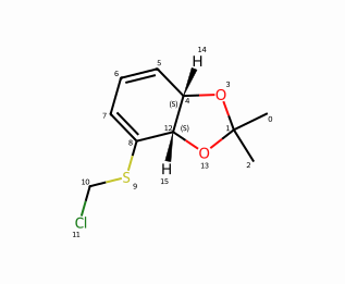 CC1(C)O[C@H]2C=CC=C(SCCl)[C@H]2O1